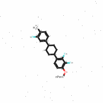 CCCCCOc1ccc(C2CCC(c3ccc(C)c(F)c3)CC2)c(F)c1F